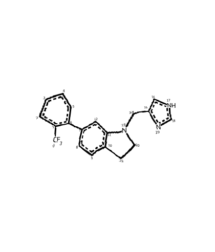 FC(F)(F)c1ccccc1-c1ccc2c(c1)N(Cc1c[nH]cn1)CC2